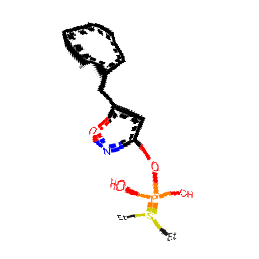 CCS(CC)=P(O)(O)Oc1cc(-c2ccccc2)on1